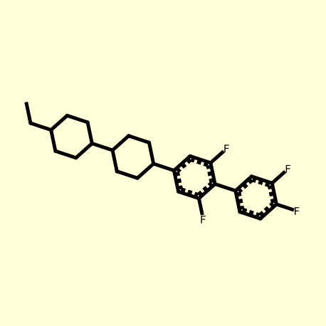 CCC1CCC(C2CCC(c3cc(F)c(-c4ccc(F)c(F)c4)c(F)c3)CC2)CC1